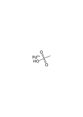 CS(=O)(=O)O.[Pd+2]